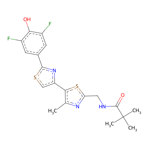 Cc1nc(CNC(=O)C(C)(C)C)sc1-c1csc(-c2cc(F)c(O)c(F)c2)n1